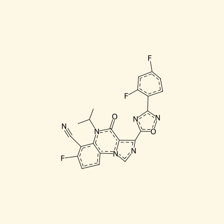 CC(C)n1c(=O)c2c(-c3nc(-c4ccc(F)cc4F)no3)ncn2c2ccc(F)c(C#N)c21